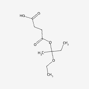 CCOC(C)(CC)OC(=O)CCC(=O)O